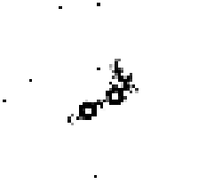 O=c1c(I)c(C(F)(F)F)oc2cc(OCc3ccc(Cl)cc3)ccc12